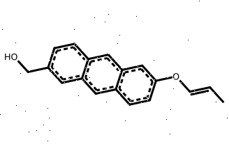 CC=COc1ccc2cc3cc(CO)ccc3cc2c1